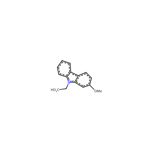 COc1ccc2c3ccccc3n(CC(=O)O)c2c1